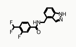 O=C(NCc1cccc2[nH]ncc12)c1ccc(C(F)F)c(F)c1